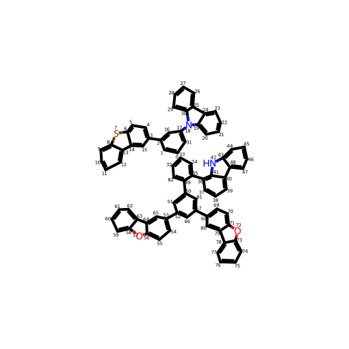 c1cc(-c2ccc3sc4ccccc4c3c2)cc(-n2c3ccccc3c3ccccc32)c1.c1ccc(-c2cccc3c2[nH]c2ccccc23)c(-c2cc(-c3ccc4oc5ccccc5c4c3)cc(-c3ccc4oc5ccccc5c4c3)c2)c1